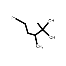 CC(C)CCC(C)C(O)(O)I